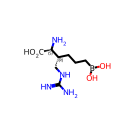 N=C(N)NC[C@@H](CCCB(O)O)[C@H](N)C(=O)O